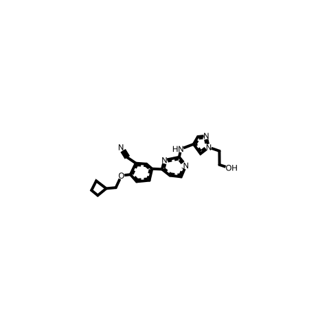 N#Cc1cc(-c2ccnc(Nc3cnn(CCO)c3)n2)ccc1OCC1CCC1